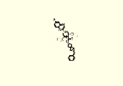 C[C@@H]1CN(c2cnc3cc(F)ccc3n2)C[C@@H](C)N1C(=O)OC1CC2(C1)CN(Cc1ccccc1)C2